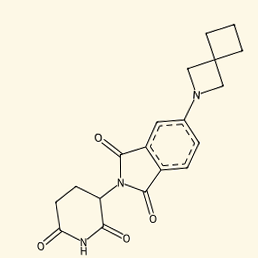 O=C1CCC(N2C(=O)c3ccc(N4CC5(CCC5)C4)cc3C2=O)C(=O)N1